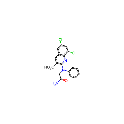 NC(=O)CN(c1ccccc1)c1nc2c(Cl)cc(Cl)cc2cc1C(=O)O